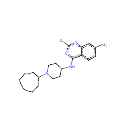 FC(F)(F)c1ccc2c(NC3CCN(C4CCCCCC4)CC3)nc(Cl)nc2c1